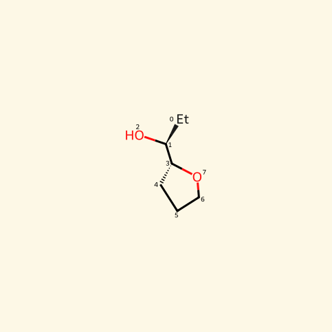 CC[C@H](O)[C@H]1CCCO1